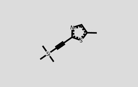 Cc1cnc(C#C[Si](C)(C)C)s1